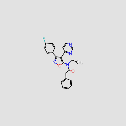 CCN(C(=O)Cc1ccccc1)c1onc(-c2ccc(F)cc2)c1-c1ccncn1